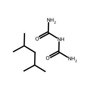 CC(C)CC(C)C.NC(=O)NC(N)=O